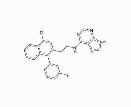 Fc1cccc(-c2c(CCNc3ncnc4[nH]cnc34)cc(Cl)c3ccccc23)c1